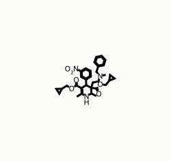 CC1=C(C(=O)OCC2CC2)C(c2cccc([N+](=O)[O-])c2)C(CCN(C)Cc2ccccc2)(C(=O)OCC2CC2)C(C)N1